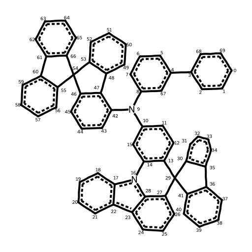 c1ccc(-c2cccc(N(c3ccc4c(c3)-n3c5ccccc5c5cccc(c53)C43c4ccccc4-c4ccccc43)c3cccc4c3-c3ccccc3C43c4ccccc4-c4ccccc43)c2)cc1